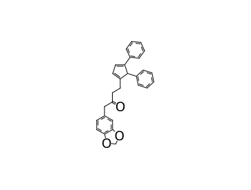 O=C(CCC1=CC=C(c2ccccc2)C1c1ccccc1)Cc1ccc2c(c1)OCO2